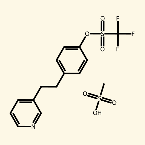 CS(=O)(=O)O.O=S(=O)(Oc1ccc(CCc2cccnc2)cc1)C(F)(F)F